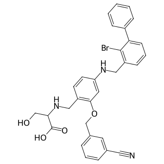 N#Cc1cccc(COc2cc(NCc3cccc(-c4ccccc4)c3Br)ccc2CNC(CO)C(=O)O)c1